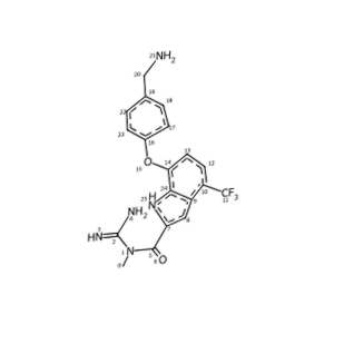 CN(C(=N)N)C(=O)c1cc2c(C(F)(F)F)ccc(Oc3ccc(CN)cc3)c2[nH]1